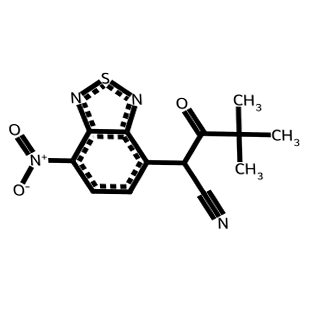 CC(C)(C)C(=O)C(C#N)c1ccc([N+](=O)[O-])c2nsnc12